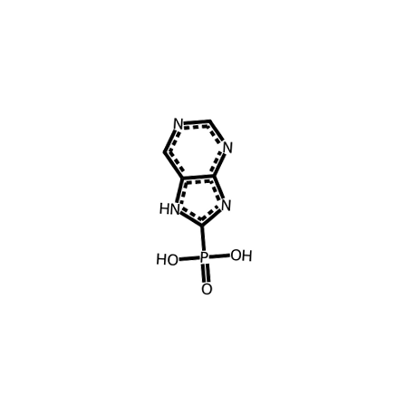 O=P(O)(O)c1nc2ncncc2[nH]1